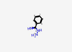 N=C(NN)c1c[c]ccc1